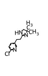 CC1(C)CNC(CCc2ccc(Cl)nc2)=N1